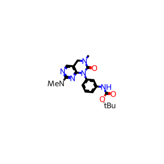 CNc1ncc2c(n1)N(c1cccc(NC(=O)OC(C)(C)C)c1)C(=O)N(C)C2